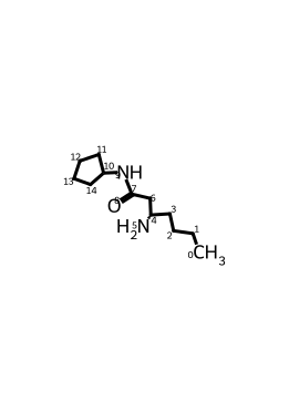 CCCC[C@H](N)CC(=O)NC1CCCC1